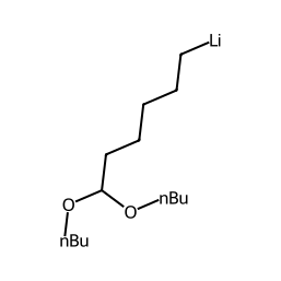 [Li][CH2]CCCCC(OCCCC)OCCCC